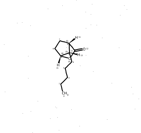 CCCCC[C@H]1[C@@H]2CC[C@H]1OC2=O